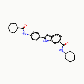 O=C(NC1CCCCC1)c1ccc2cc(-c3ccc(NC(=O)C4CCCCC4)cc3)[nH]c2c1